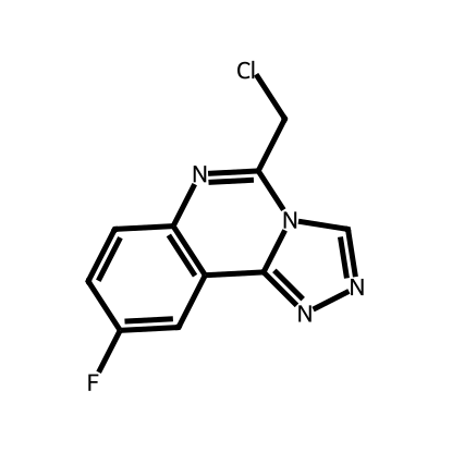 Fc1ccc2nc(CCl)n3cnnc3c2c1